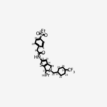 CCS(=O)(=O)c1ccc(CC(=O)Nc2cc3c(s2)C(C(C)C)N(CC2CCC(C(F)(F)F)CC2)C3)cc1